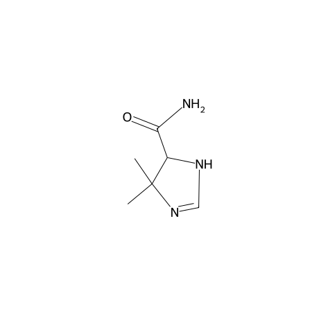 CC1(C)N=CNC1C(N)=O